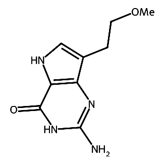 COCCc1c[nH]c2c(=O)[nH]c(N)nc12